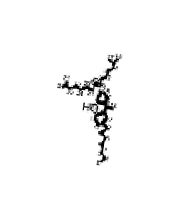 CCCCCCCCc1ccc(O)c(C(C)c2ccc(P(=O)(CCCCCC(C)C)CCCCCC(C)C)cc2)c1